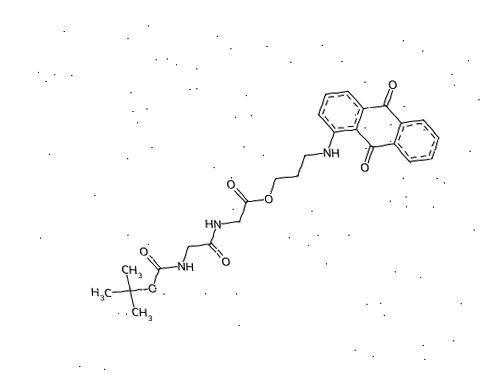 CC(C)(C)OC(=O)NCC(=O)NCC(=O)OCCCNc1cccc2c1C(=O)c1ccccc1C2=O